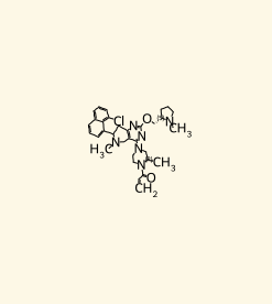 C=CC(=O)N1CCN(c2nc(OC[C@@H]3CCCN3C)nc3c2CN(C)C(c2cccc4cccc(Cl)c24)C3)C[C@H]1C